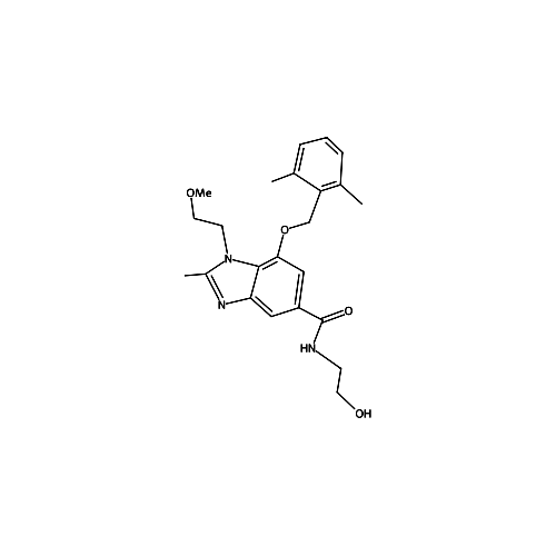 COCCn1c(C)nc2cc(C(=O)NCCO)cc(OCc3c(C)cccc3C)c21